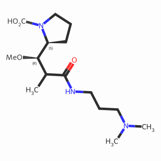 CO[C@H](C(C)C(=O)NCCCN(C)C)[C@@H]1CCCN1C(=O)O